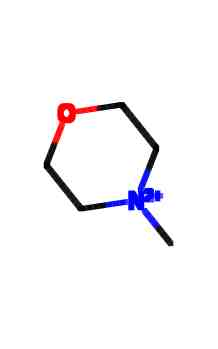 C[N+2]1CCOCC1